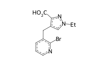 CCn1cc(Cc2cccnc2Br)c(C(=O)O)n1